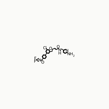 Nc1ccc(CNC(=O)C=CC2Cc3cc(-c4ccc(C(=O)N5CC(F)(F)C5)cc4)cc(Cl)c3O2)cn1